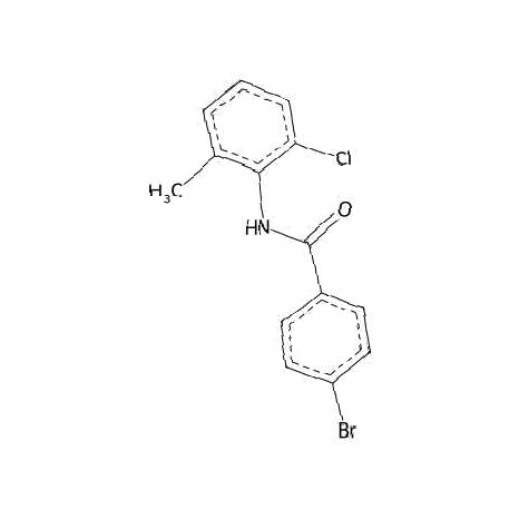 Cc1cccc(Cl)c1NC(=O)c1ccc(Br)cc1